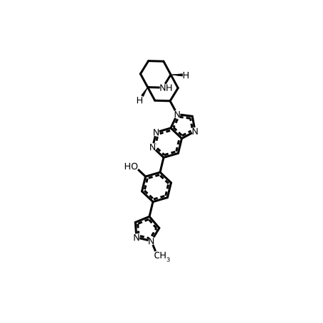 Cn1cc(-c2ccc(-c3cc4ncn(C5C[C@H]6CCC[C@@H](C5)N6)c4nn3)c(O)c2)cn1